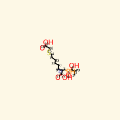 CC(C)C(O)[PH](=O)C/C(=C\CCCCCSCC(=O)O)C(=O)O